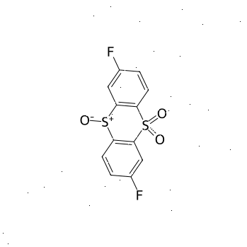 O=S1(=O)c2ccc(F)cc2[S+]([O-])c2ccc(F)cc21